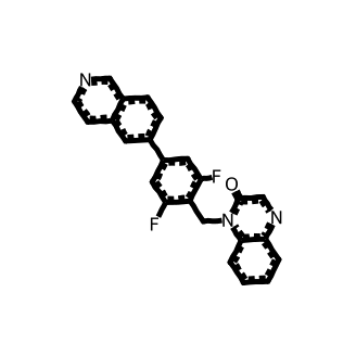 O=c1cnc2ccccc2n1Cc1c(F)cc(-c2ccc3cnccc3c2)cc1F